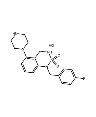 Cl.O=S1(=O)NCc2c(N3CCNCC3)cccc2N1Cc1ccc(F)cc1